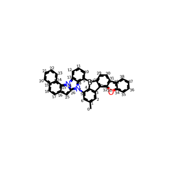 Cc1cc2c3c(c1)-n1c4c(cccc4n4c5c(ccc6ccccc65)cc14)B3c1ccc3c(oc4ccccc43)c1-2